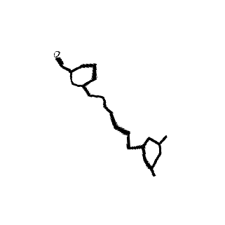 CC1CC(C)CC(CCCCCCCC2CCCC(C=O)C2)C1